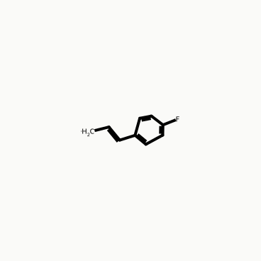 [CH2]C=Cc1ccc(F)cc1